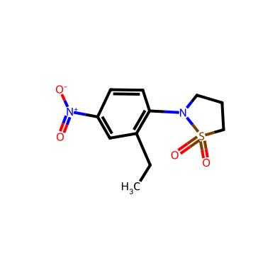 CCc1cc([N+](=O)[O-])ccc1N1CCCS1(=O)=O